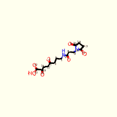 O=C(CCCNC(=O)CCN1C(=O)CCC1=O)CCC(=O)C(=O)O